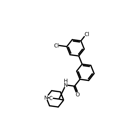 O=C(NC1CN2CCC1CC2)c1cccc(-c2cc(Cl)cc(Cl)c2)c1